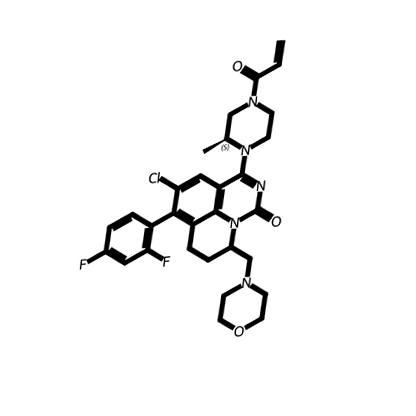 C=CC(=O)N1CCN(c2nc(=O)n3c4c(c(-c5ccc(F)cc5F)c(Cl)cc24)CCC3CN2CCOCC2)[C@@H](C)C1